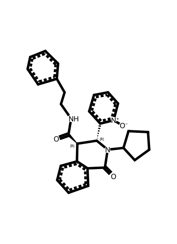 O=C(NCCc1ccccc1)[C@@H]1c2ccccc2C(=O)N(C2CCCC2)[C@H]1c1cccc[n+]1[O-]